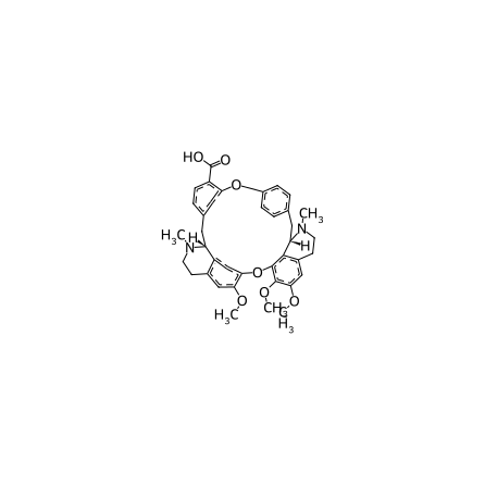 COc1cc2c3cc1Oc1c(OC)c(OC)cc4c1[C@H](Cc1ccc(cc1)Oc1cc(ccc1C(=O)O)C[C@H]3N(C)CC2)N(C)CC4